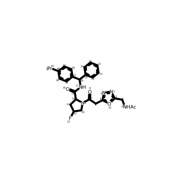 CC(=O)NCc1nnc(CC(=O)N2CC(F)CC2C(=O)NC(c2ccccc2)c2ccc(C(C)C)cc2)o1